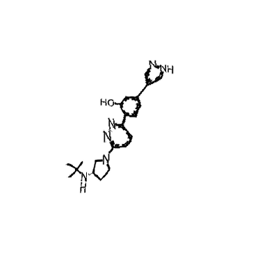 CC(C)(C)N[C@H]1CCN(c2ccc(-c3ccc(-c4cn[nH]c4)cc3O)nn2)C1